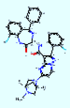 CN1C[C@H]2C[C@@H]1CN2c1ccn2nc(-c3ccccc3F)c(C(=O)N[C@H]3N=C(c4ccccc4)c4cccc(F)c4NC3=O)c2n1